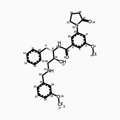 CCOc1cc(C(=O)N[C@@H](Cc2ccccc2)[C@@H](O)CNCc2cccc(OC(F)(F)F)c2)cc(N2CCCC2=O)c1